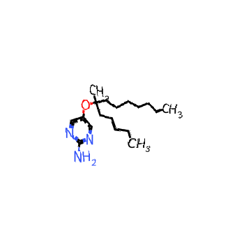 CCCCCCCC(C)(CCCCC)Oc1cnc(N)nc1